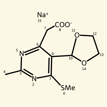 CSc1nc(C)nc(CC(=O)[O-])c1C1OCCO1.[Na+]